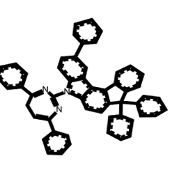 C1=C(c2ccccc2)N=C(n2c3ccc(-c4ccccc4)cc3c3c4c(ccc32)C(c2ccccc2)(c2ccccc2)c2ccccc2-4)N=C(c2ccccc2)C1